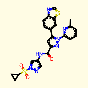 Cc1cccc(-n2nc(C(=O)Nc3cnn(S(=O)(=O)C4CC4)c3)cc2-c2ccc3ncsc3c2)n1